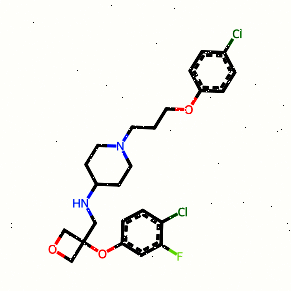 Fc1cc(OC2(CNC3CCN(CCCOc4ccc(Cl)cc4)CC3)COC2)ccc1Cl